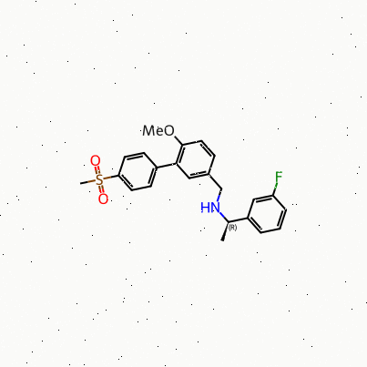 COc1ccc(CN[C@H](C)c2cccc(F)c2)cc1-c1ccc(S(C)(=O)=O)cc1